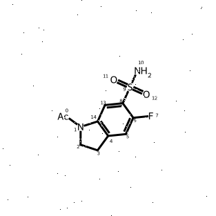 CC(=O)N1CCc2cc(F)c(S(N)(=O)=O)cc21